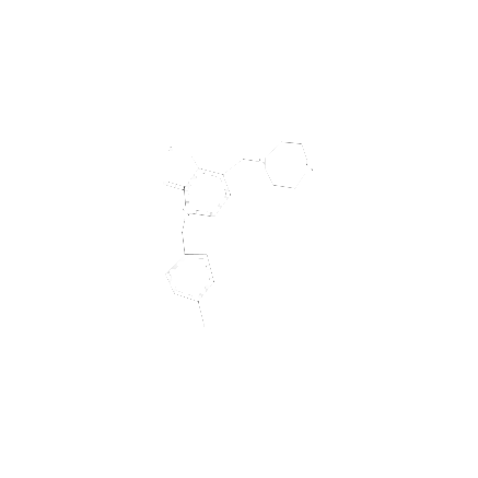 CC(=O)Oc1c(CN2CCNCC2)ccn(Cc2ccc(Cl)cc2)c1=O